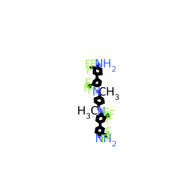 C/C(=N\c1ccc(-c2ccc(N)c(C(F)(F)F)c2)cc1C(F)(F)F)c1ccc(/C(C)=N/c2ccc(-c3ccc(N)c(C(F)(F)F)c3)cc2C(F)(F)F)cc1